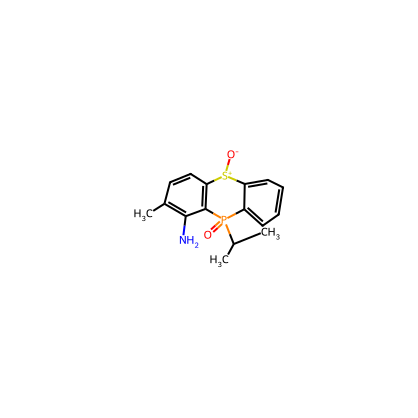 Cc1ccc2c(c1N)P(=O)(C(C)C)c1ccccc1[S+]2[O-]